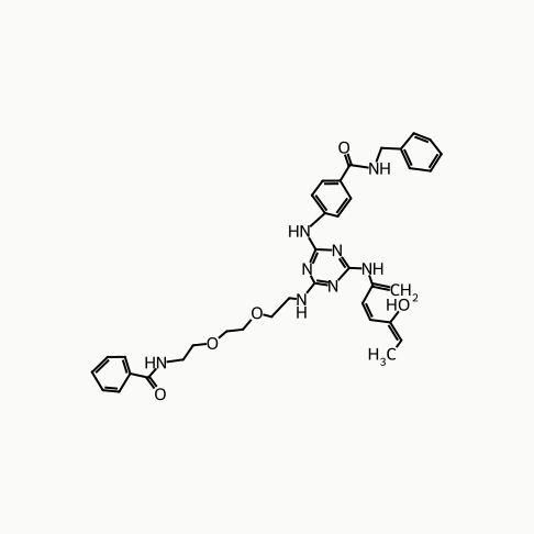 C=C(/C=C\C(O)=C/C)Nc1nc(NCCOCCOCCNC(=O)c2ccccc2)nc(Nc2ccc(C(=O)NCc3ccccc3)cc2)n1